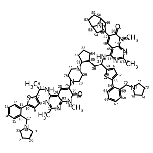 Cc1nc(N[C@H](C)c2ccc(-c3ccccc3CN3CCCC3)s2)c2cc(N3CCN(C4CCCC4C[C@@H](Nc4nc(C)nc5c4cc(N4CC6CCC(C4)N6)c(=O)n5C)c4ccc(-c5ccccc5CN5CCCC5)s4)CC3)c(=O)n(C)c2n1